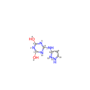 Oc1nc(O)nc(Nc2cc[nH]n2)n1